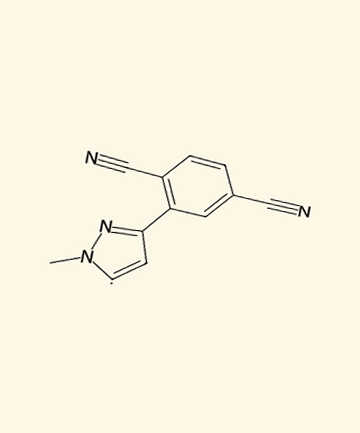 Cn1[c]cc(-c2cc(C#N)ccc2C#N)n1